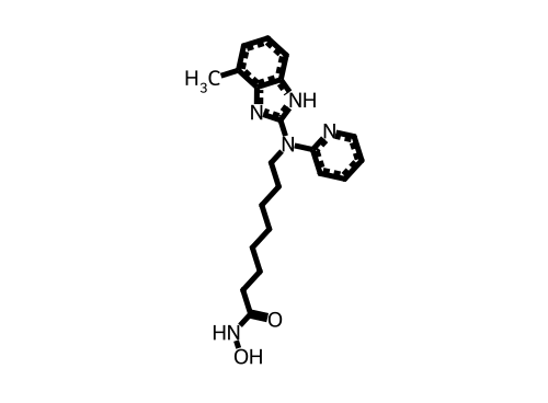 Cc1cccc2[nH]c(N(CCCCCCCC(=O)NO)c3ccccn3)nc12